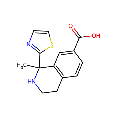 CC1(c2nccs2)NCCc2ccc(C(=O)O)cc21